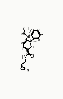 CCCNC(=O)c1ccc2c(c1)c1ccccc1n2CC